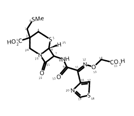 CSCC1(C(=O)O)CS[C@@H]2C(NC(=O)C(=NOCC(=O)O)c3cscn3)C(=O)N2C1